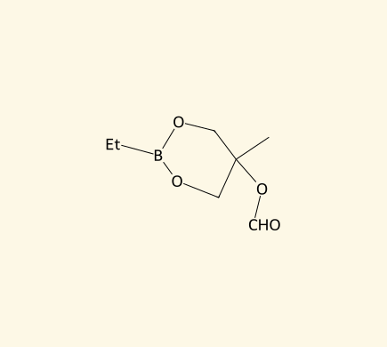 CCB1OCC(C)(OC=O)CO1